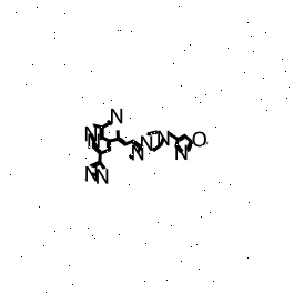 C=N/C(=C\C=C(/C)c1cc(-c2cnn(C)c2)cn2ncc(C#N)c12)N1CCN(Cc2cncc(OC)c2)CC1